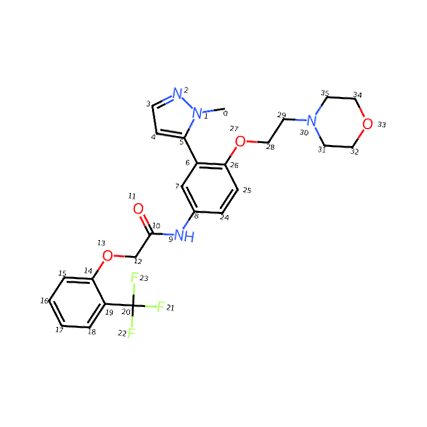 Cn1nccc1-c1cc(NC(=O)COc2ccccc2C(F)(F)F)ccc1OCCN1CCOCC1